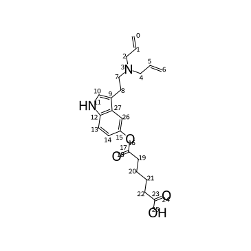 C=CCN(CC=C)CCc1c[nH]c2ccc(OC(=O)CCCCC(=O)O)cc12